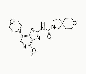 COc1ncc(N2CCOCC2)c2sc(NC(=O)N3CCC4(CCOCC4)C3)nc12